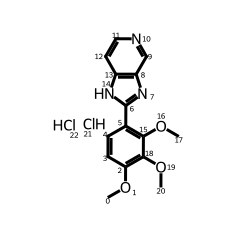 COc1ccc(-c2nc3cnccc3[nH]2)c(OC)c1OC.Cl.Cl